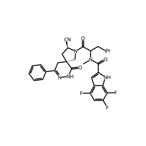 CC(C)CC(C(=O)N1C[C@]2(CC(c3ccccc3)=NNC2=O)C[C@H]1C#N)N(C)C(=O)c1cc2c(F)cc(F)c(F)c2[nH]1